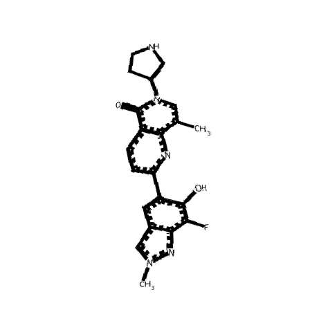 Cc1cn(C2CCNC2)c(=O)c2ccc(-c3cc4cn(C)nc4c(F)c3O)nc12